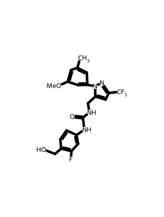 COc1cc(C)cc(-n2nc(C(F)(F)F)cc2CNC(=O)Nc2ccc(CO)c(F)c2)c1